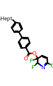 CCCCCCCc1ccc(-c2ccc(C(=O)OC3(F)C=CC(Cl)=NC3F)cc2)cc1